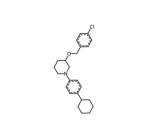 Clc1ccc(COC2CCCN(c3ccc(C4[CH]CCCC4)cc3)C2)cc1